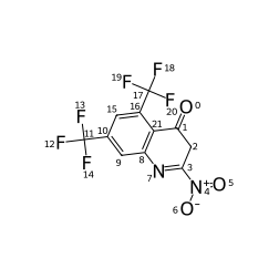 O=C1CC([N+](=O)[O-])=Nc2cc(C(F)(F)F)cc(C(F)(F)F)c21